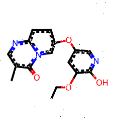 CCOc1cc(Oc2ccc3ncc(C)c(=O)n3c2)cnc1O